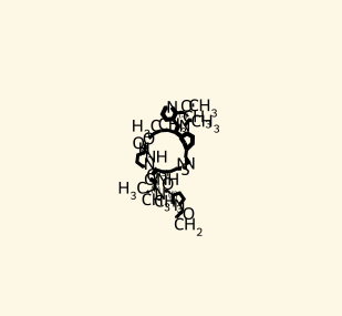 C=CC(=O)N1CC[C@H](C(=O)N(C)[C@H](C(=O)N[C@H]2Cc3nc(ns3)-c3ccc4c(c3)c(c(-c3cccnc3[C@H](C)OC)n4CC)CC(C)(C)COC(=O)[C@@H]3CCCN(N3)C2=O)C(C)C)C1